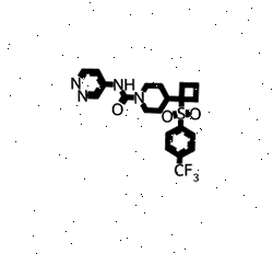 O=C(Nc1ccnnc1)N1CCC(C2(S(=O)(=O)c3ccc(C(F)(F)F)cc3)CCC2)CC1